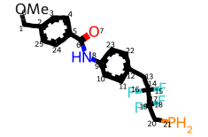 COCc1ccc(C(=O)Nc2ccc(CC(F)(F)C(F)(F)CP)cc2)cc1